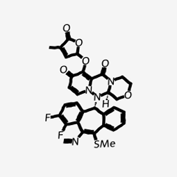 C=NC1=C(SC)c2ccccc2[C@@H](N2[C@@H]3COCCN3C(=O)c3c(OC4C=C(C)C(=O)O4)c(=O)ccn32)c2ccc(F)c(F)c21